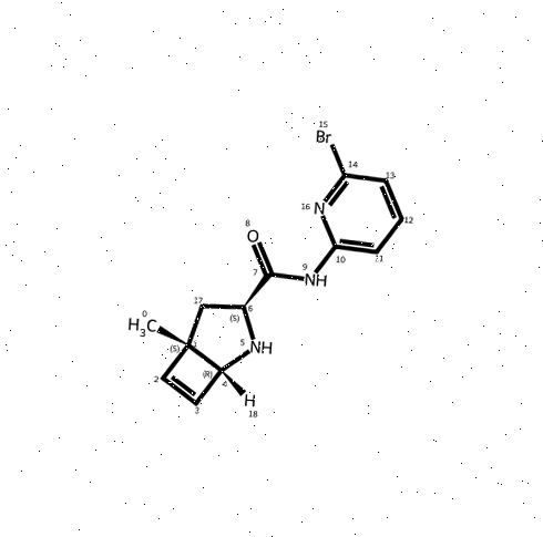 C[C@]12C=C[C@H]1N[C@H](C(=O)Nc1cccc(Br)n1)C2